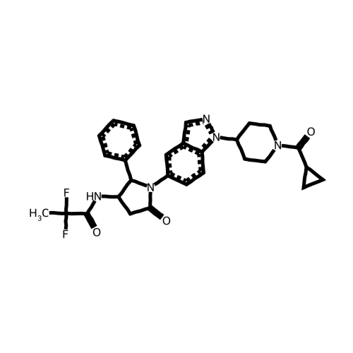 CC(F)(F)C(=O)NC1CC(=O)N(c2ccc3c(cnn3C3CCN(C(=O)C4CC4)CC3)c2)C1c1ccccc1